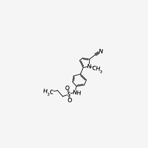 CCCS(=O)(=O)Nc1ccc(-c2ccc(C#N)n2C)cc1